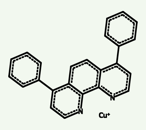 [Cu+].c1ccc(-c2ccnc3c2ccc2c(-c4ccccc4)ccnc23)cc1